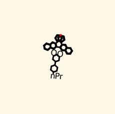 CCCC1CCC(C2CCC3(CC2)Oc2c(c(-c4ccccc4)cc4ccccc24)-c2c(-c4ccccc4)cc4ccccc4c2O3)CC1